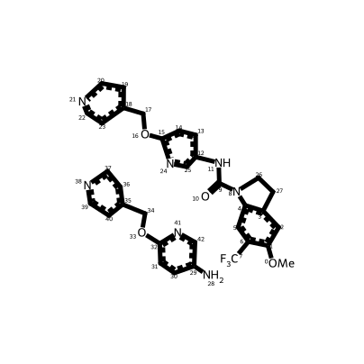 COc1cc2c(cc1C(F)(F)F)N(C(=O)Nc1ccc(OCc3ccncc3)nc1)CC2.Nc1ccc(OCc2ccncc2)nc1